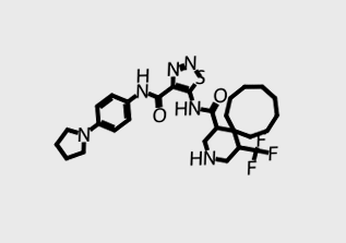 O=C(Nc1ccc(N2CCCC2)cc1)c1nnsc1NC(=O)C1CNCC(C(F)(F)F)C12CCCCCCCC2